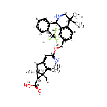 C=C1/C(=C\C(=N/C)OCc2ccc3c(c2F)C(c2ccccc2C(F)(F)F)NCC3(C)C)C[C@@H]2[C@H]1[C@H]2C(=O)O